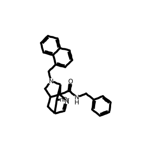 CCCC1C2C=NC3(C(=O)NCc4ccccc4)C(C2)CN(Cc2cccc4ccccc24)C13